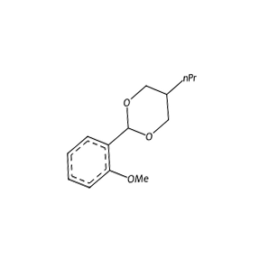 CCCC1COC(c2ccccc2OC)OC1